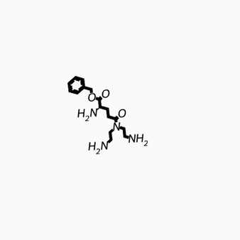 NCCN(CCN)C(=O)CC[C@H](N)C(=O)OCc1ccccc1